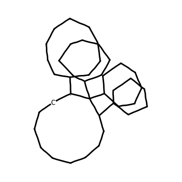 C1CCCCC([C]2CCCCCCCCCC(C3CCCCC3)C2(C2CCCCCCC2)C2CCCCCC2)CCCC1